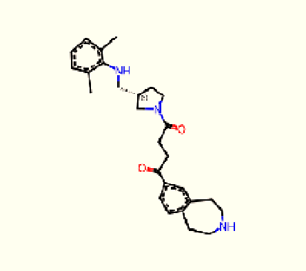 Cc1cccc(C)c1NC[C@@H]1CCN(C(=O)CCC(=O)c2ccc3c(c2)CCNCC3)C1